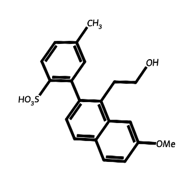 COc1ccc2ccc(-c3cc(C)ccc3S(=O)(=O)O)c(CCO)c2c1